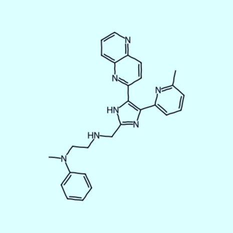 Cc1cccc(-c2nc(CNCCN(C)c3ccccc3)[nH]c2-c2ccc3ncccc3n2)n1